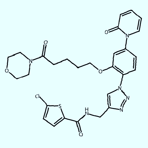 O=C(NCc1cn(-c2ccc(-n3ccccc3=O)cc2OCCCCC(=O)N2CCOCC2)nn1)c1ccc(Cl)s1